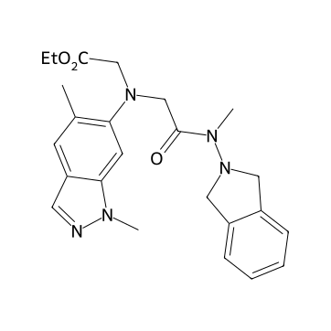 CCOC(=O)CN(CC(=O)N(C)N1Cc2ccccc2C1)c1cc2c(cnn2C)cc1C